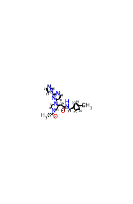 CC(=O)N1CCN(c2ccnc(-n3ccnc3)n2)C(CC(=O)NCc2ccc(C)cc2)C1